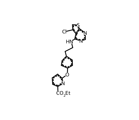 CCOC(=O)c1cccc(Oc2ccc(CCNc3ncnc4scc(Cl)c34)cc2)n1